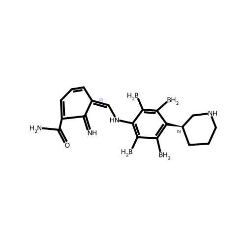 Bc1c(B)c([C@@H]2CCCNC2)c(B)c(B)c1N/C=C1/C=CC=C(C(N)=O)C1=N